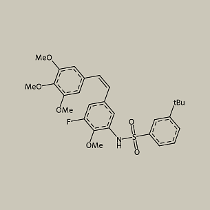 COc1cc(/C=C\c2cc(F)c(OC)c(NS(=O)(=O)c3cccc(C(C)(C)C)c3)c2)cc(OC)c1OC